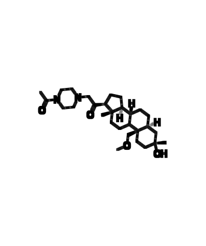 COC[C@]12CC[C@@](C)(O)C[C@@H]1CC[C@@H]1C2CC[C@]2(C)[C@@H](C(=O)CN3CCN(C(C)=O)CC3)CC[C@@H]12